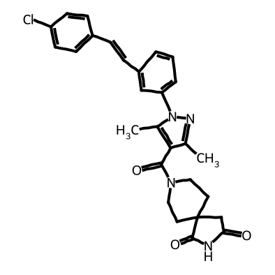 Cc1nn(-c2cccc(C=Cc3ccc(Cl)cc3)c2)c(C)c1C(=O)N1CCC2(CC1)CC(=O)NC2=O